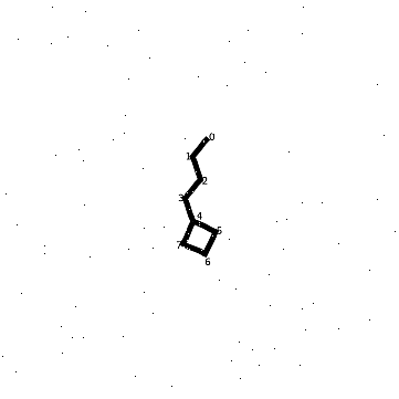 CCCCC1[CH]CC1